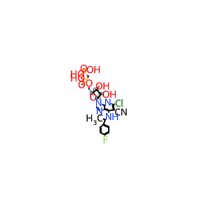 CC(Nc1c(C#N)c(Cl)nc2c1ncn2[C@@H]1O[C@H](COP(=O)(O)CP(=O)(O)O)[C@@H](O)[C@H]1O)c1ccc(F)cc1